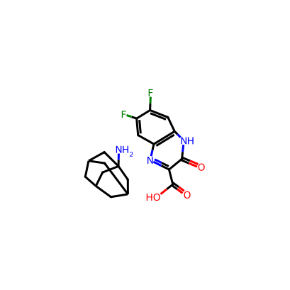 NC12CC3CC(CC(C3)C1)C2.O=C(O)c1nc2cc(F)c(F)cc2[nH]c1=O